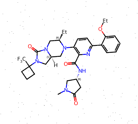 CCOc1ccccc1-c1ccc(N2C[C@H]3CN(C4(C(F)(F)F)CCC4)C(=O)N3C[C@H]2CC)c(C(=O)N[C@@H]2CC(=O)N(C)C2)n1